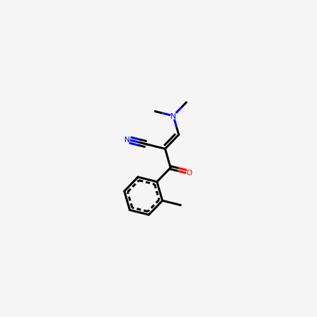 Cc1ccccc1C(=O)C(C#N)=CN(C)C